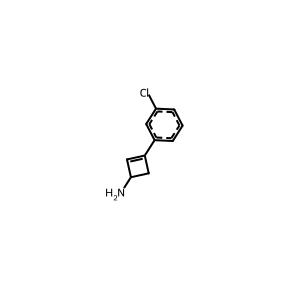 NC1C=C(c2cccc(Cl)c2)C1